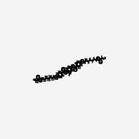 C=CC(=O)OCCCCCCCOc1ccc(C(=O)Oc2ccc(OC(=O)c3ccc(OCCCCCCCOC(=O)C=C)cc3)c(F)c2)cc1